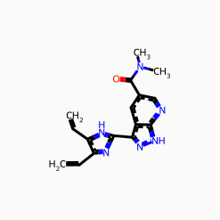 C=Cc1nc(-c2n[nH]c3ncc(C(=O)N(C)C)cc23)[nH]c1C=C